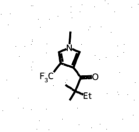 CCC(C)(C)C(=O)c1cn(C)cc1C(F)(F)F